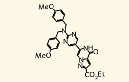 CCOC(=O)c1cc2c(=O)[nH]c(-c3cnc(N(Cc4ccc(OC)cc4)Cc4ccc(OC)cc4)nc3)cn2n1